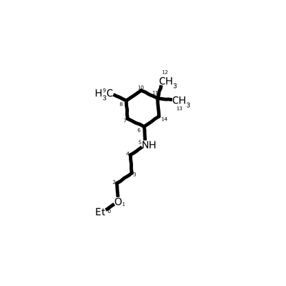 CCOCCCNC1CC(C)CC(C)(C)C1